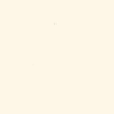 CCc1cc(OC)ccc1-c1cccc(C(=O)O)c1